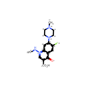 CCCNn1cc(C(=O)O)c(=O)c2cc(F)c(N3CCN(C)CC3)cc21